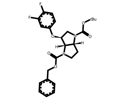 CC(C)(C)OC(=O)N1C[C@H](Oc2ccc(F)c(F)c2)[C@@H]2[C@H]1CCN2C(=O)OCc1ccccc1